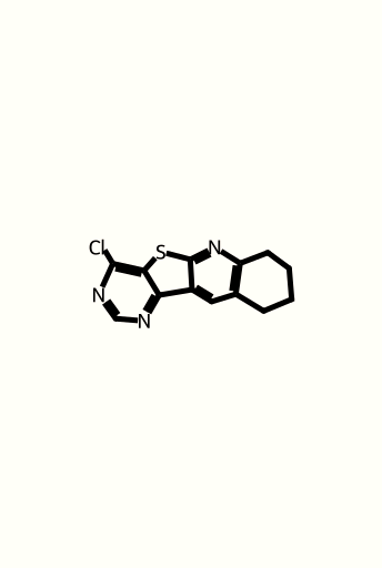 Clc1ncnc2c1sc1nc3c(cc12)CCCC3